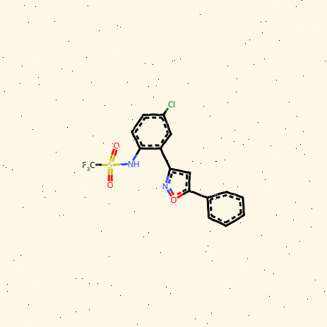 O=S(=O)(Nc1ccc(Cl)cc1-c1cc(-c2ccccc2)on1)C(F)(F)F